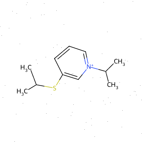 CC(C)Sc1ccc[n+](C(C)C)c1